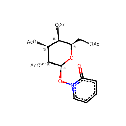 CC(=O)OC[C@H]1O[C@@H](On2ccccc2=O)[C@H](OC(C)=O)[C@@H](OC(C)=O)[C@H]1OC(C)=O